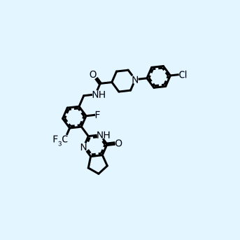 O=C(NCc1ccc(C(F)(F)F)c(-c2nc3c(c(=O)[nH]2)CCC3)c1F)C1CCN(c2ccc(Cl)cc2)CC1